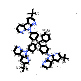 CCC(C)(C)c1cnc2c(c1)c1cccnc1n2-c1ccc([Si](c2ccc(-n3c4ncccc4c4cc(C(C)(C)CC)cnc43)cc2)(c2ccc(-n3c4ncccc4c4cc(C(C)(C)CC)cnc43)cc2)c2cccc(C(C)(C)C)c2)cc1